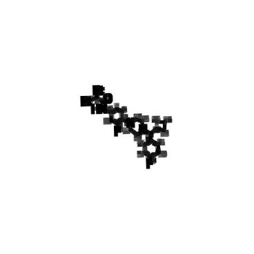 CCC(CC)C(=O)Nc1ccc(N2CCN(C(c3ccc(F)cc3)C3CCC3)CC2)c(F)c1